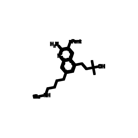 CCCCCc1cc2c(CCC(C)(C)O)cc(CCCCNC(C)(C)C)cc2nc1N